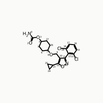 NC(=O)OC1CCC(OCc2c(-c3c(Cl)cccc3Cl)noc2C2CC2)CC1